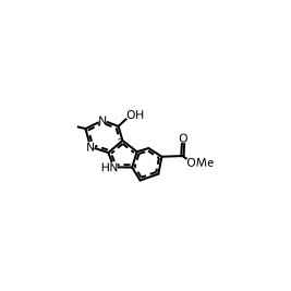 COC(=O)c1ccc2[nH]c3nc(C)nc(O)c3c2c1